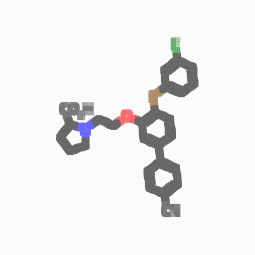 N#Cc1ccc(-c2ccc(Sc3cccc(F)c3)c(OCCN3CCCC3C(=O)O)c2)cc1